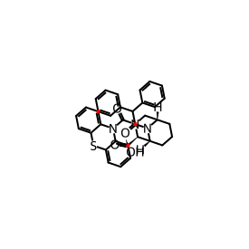 O=C(O)[C@@H]1[C@H]2CCC[C@@H](CN1C(=O)N1c3ccccc3Sc3ccccc31)N2C(=O)C(c1ccccc1)c1ccccc1